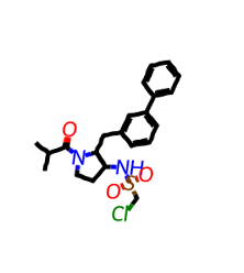 CC(C)C(=O)N1CCC(NS(=O)(=O)CCl)C1Cc1cccc(-c2ccccc2)c1